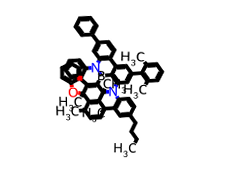 CCCCc1ccc2c(c1)C1(C)C=CC(C)C3=C1C1(C)C(=C4c5ccccc5OC43C)B3c4c(cc(-c5c(C)cccc5C)cc4N21)-c1ccc(-c2ccccc2)cc1N3c1ccccc1